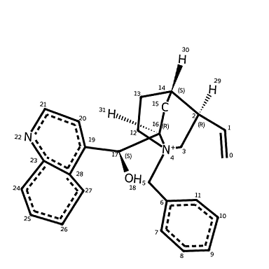 C=C[C@H]1C[N+]2(Cc3ccccc3)CC[C@H]1C[C@@H]2[C@@H](O)c1ccnc2ccccc12